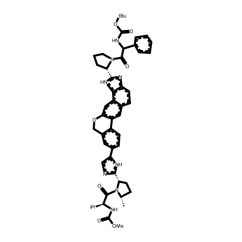 COC(=O)N[C@H](C(=O)N1[C@@H](C)CC[C@H]1c1ncc(-c2ccc3c(c2)COc2cc4c(ccc5nc([C@@H]6CCCN6C(=O)C(NC(=O)OC(C)(C)C)c6ccccc6)[nH]c54)cc2-3)[nH]1)C(C)C